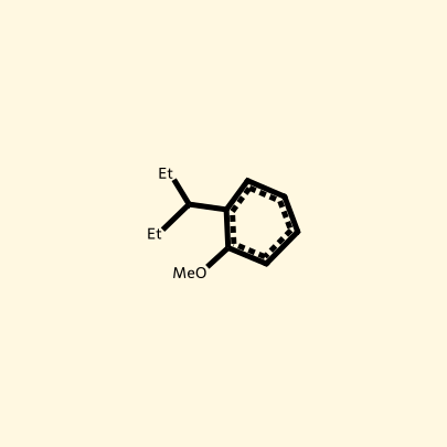 CC[C](CC)c1ccccc1OC